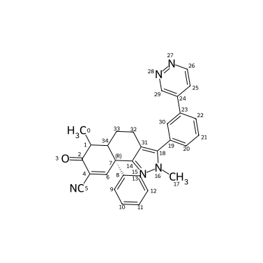 CC1C(=O)C(C#N)=C[C@]2(c3ccccc3)c3nn(C)c(-c4cccc(-c5ccnnc5)c4)c3CCC12